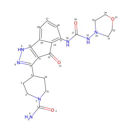 NC(=O)N1CCC(c2n[nH]c3c2C(=O)c2c(NC(=O)NN4CCOCC4)cccc2-3)CC1